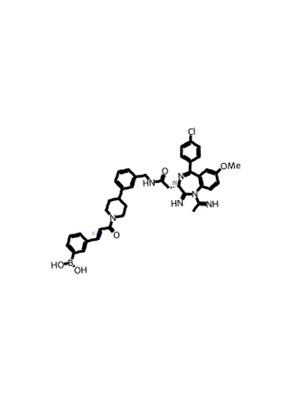 COc1ccc2c(c1)C(c1ccc(Cl)cc1)=N[C@@H](CC(=O)NCc1cccc(C3CCN(C(=O)/C=C/c4cccc(B(O)O)c4)CC3)c1)C(=N)N2C(C)=N